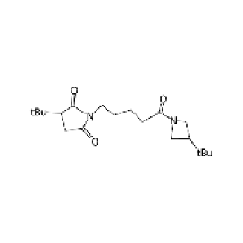 CC(C)(C)C1CN(C(=O)CCCCN2C(=O)CC(C(C)(C)C)C2=O)C1